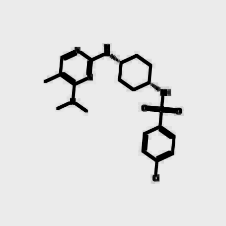 Cc1cnc(N[C@H]2CC[C@@H](NS(=O)(=O)c3ccc(Cl)cc3)CC2)nc1N(C)C